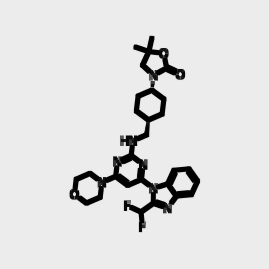 CC1(C)CN([C@H]2CC[C@H](CNc3nc(N4CCOCC4)cc(-n4c(C(F)F)nc5ccccc54)n3)CC2)C(=O)O1